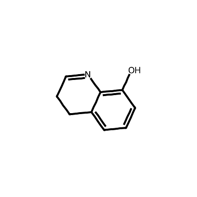 Oc1cccc2c1N=CCC2